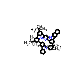 CC(C)(C)c1cc(-c2ccc3c(c2)c2ccccc2n3-c2ccccc2)c2c(c1)c1cc(C(C)(C)C)cc3c4cc5c(nc4n2c31)c1cc(C(C)(C)C)cc2c3cc4ccccc4cc3n5c21